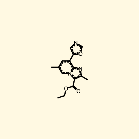 CCOC(=O)c1c(C)nc2c(-c3cnco3)cc(C)cn12